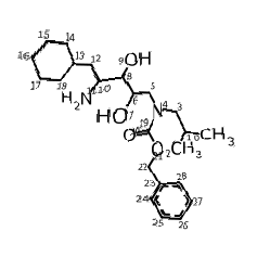 CC(C)CN(CC(O)C(O)C(N)CC1CCCCC1)C(=O)OCc1ccccc1